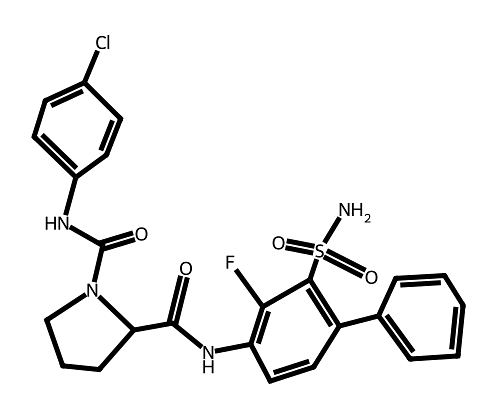 NS(=O)(=O)c1c(-c2ccccc2)ccc(NC(=O)C2CCCN2C(=O)Nc2ccc(Cl)cc2)c1F